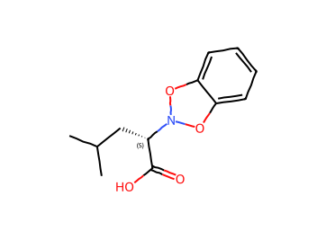 CC(C)C[C@@H](C(=O)O)N1Oc2ccccc2O1